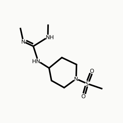 C/N=C(\NC)NC1CCN(S(C)(=O)=O)CC1